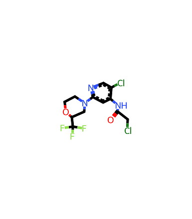 O=C(CCl)Nc1cc(N2CCOC(C(F)(F)F)C2)ncc1Cl